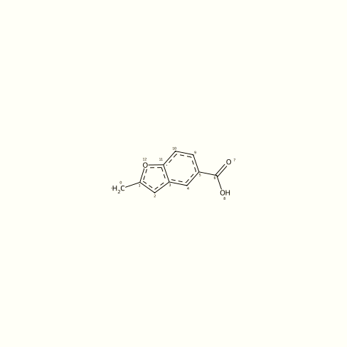 [CH2]c1cc2cc(C(=O)O)ccc2o1